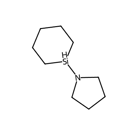 C1CC[SiH](N2CCCC2)CC1